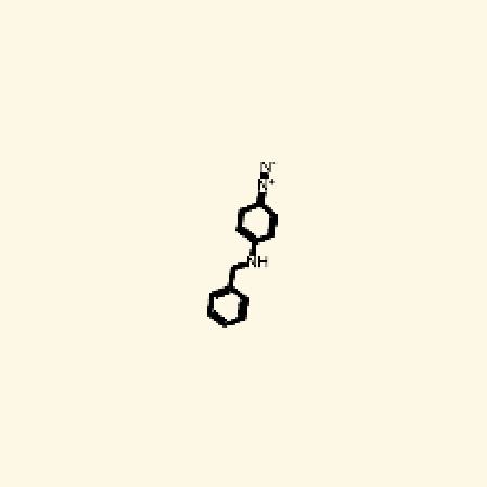 [N-]=[N+]=C1C=CC(NCc2ccccc2)=CC1